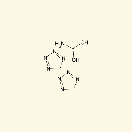 C1N=NN=N1.C1N=NN=N1.NP(O)O